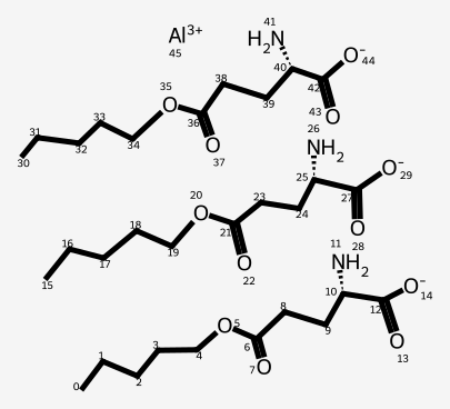 CCCCCOC(=O)CC[C@H](N)C(=O)[O-].CCCCCOC(=O)CC[C@H](N)C(=O)[O-].CCCCCOC(=O)CC[C@H](N)C(=O)[O-].[Al+3]